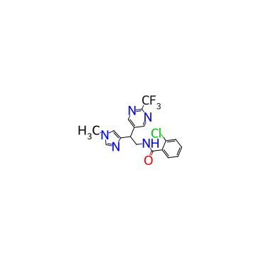 Cn1cnc(C(CNC(=O)c2ccccc2Cl)c2cnc(C(F)(F)F)nc2)c1